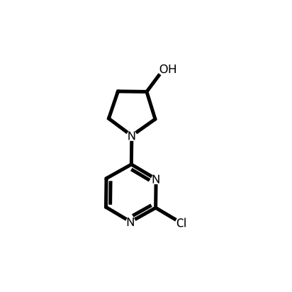 OC1CCN(c2ccnc(Cl)n2)C1